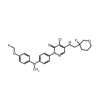 CN(c1ccc(OCF)cc1)c1ccc(-n2ncc(NCC3(F)CCCOC3)c(Cl)c2=O)cc1